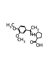 COc1ccc(/C(C)=N/N2CCCC2C(=O)O)cc1OC